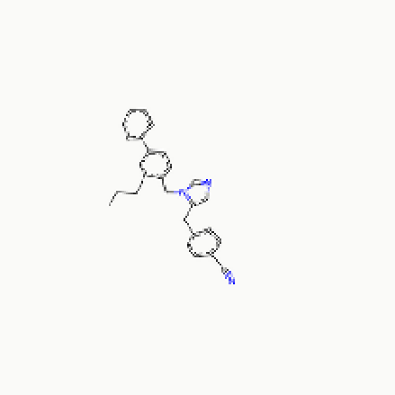 CCCc1cc(-c2ccccc2)ccc1Cn1cncc1Cc1ccc(C#N)cc1